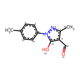 Cc1ccc(-n2nc(C)c(C=O)c2O)cc1